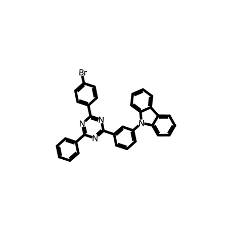 Brc1ccc(-c2nc(-c3ccccc3)nc(-c3cccc(-n4c5ccccc5c5ccccc54)c3)n2)cc1